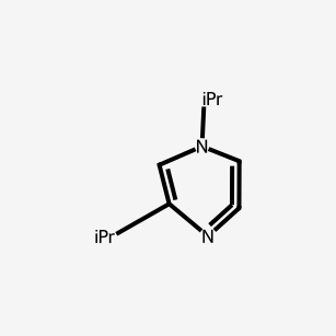 CC(C)C1=CN(C(C)C)C=C=N1